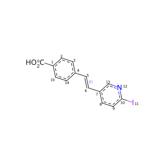 O=C(O)c1ccc(/C=C/c2ccc(I)nc2)cc1